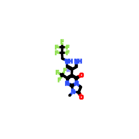 CN1C(=O)Cn2c1nc(C(F)(F)F)c(/C(C=N)=C/NCC(F)(F)C(F)(F)F)c2=O